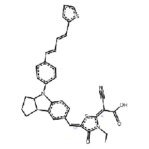 CCn1c(=O)/c(=C/c2ccc3c(c2)C2CCCC2N3c2ccc(C=CC=Cc3cccs3)cc2)s/c1=C(\C#N)C(=O)O